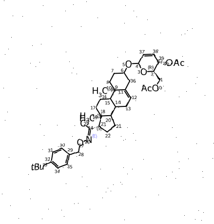 CC(=O)OC[C@H]1OC(OC2CC[C@@]3(C)C(=CCC4C3CC[C@@]3(C)C4CC[C@@H]3/C(C)=N/OCc3ccc(C(C)(C)C)cc3)C2)C=C[C@@H]1OC(C)=O